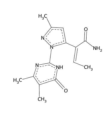 CC=C(C(N)=O)c1cc(C)nn1-c1nc(C)c(C)c(=O)[nH]1